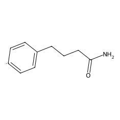 NC(=O)CCCc1cc[c]cc1